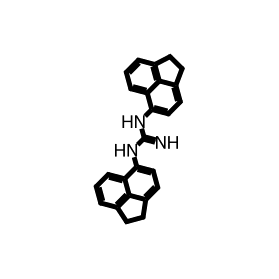 N=C(Nc1ccc2c3c(cccc13)CC2)Nc1ccc2c3c(cccc13)CC2